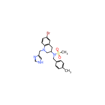 Cc1ccc(CN(C2Cc3cc(Br)ccc3N(Cc3c[nH]cn3)C2)S(C)(=O)=O)cc1